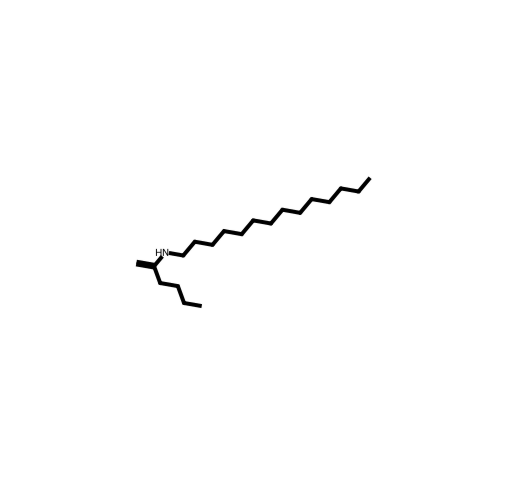 C=C(CCCC)NCCCCCCCCCCCCCC